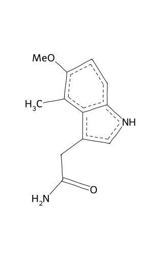 COc1ccc2[nH]cc(CC(N)=O)c2c1C